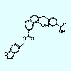 O=C(O)c1ccc(Cc2ccc3ccc(C(=O)OCc4ccc5occc5c4)cc3c2O)cc1